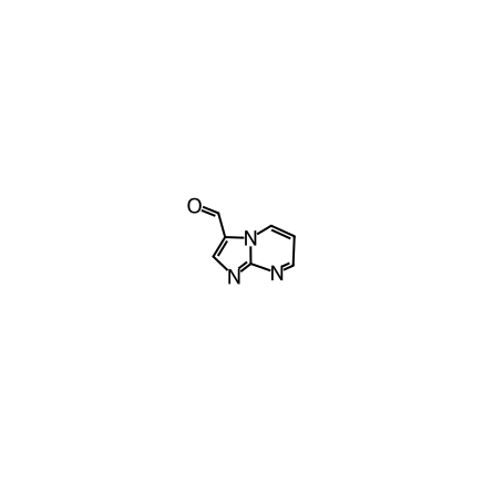 O=Cc1cnc2ncccn12